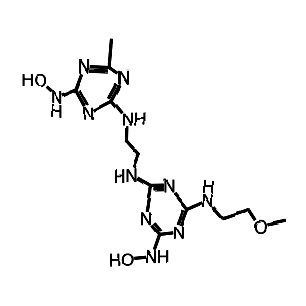 COCCNc1nc(NO)nc(NCCNc2nc(C)nc(NO)n2)n1